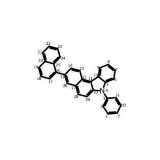 c1ccc(-n2c3ccccc3c3c4ccc(-c5cccc6ccccc56)cc4ccc32)cc1